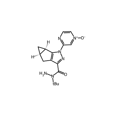 CC(C)(C)N(N)C(=O)c1nn(-c2c[n+]([O-])ccn2)c2c1C[C@H]1C[C@@H]21